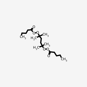 CCCCC(=O)OOC(C)(C)CCC(C)(C)OOC(=O)CCCC